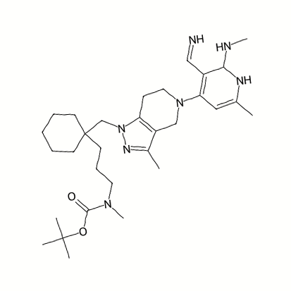 CNC1NC(C)=CC(N2CCc3c(c(C)nn3CC3(CCCN(C)C(=O)OC(C)(C)C)CCCCC3)C2)=C1C=N